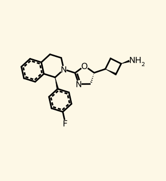 N[C@H]1C[C@@H]([C@@H]2CN=C(N3CCc4ccccc4[C@@H]3c3ccc(F)cc3)O2)C1